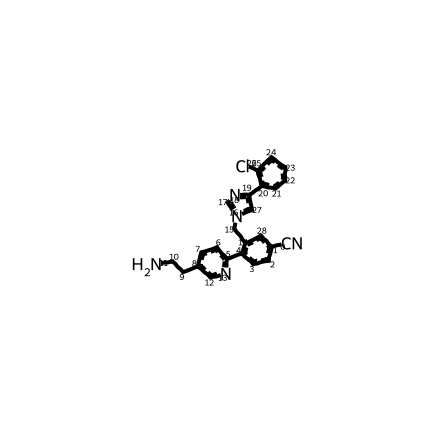 N#Cc1ccc(-c2ccc(CCN)cn2)c(Cn2cnc(-c3ccccc3Cl)c2)c1